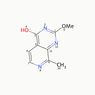 COc1nc(O)c2ccnc(C)c2n1